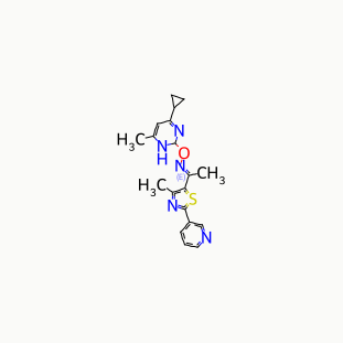 CC1=CC(C2CC2)=NC(O/N=C(\C)c2sc(-c3cccnc3)nc2C)N1